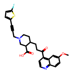 COc1ccc2nccc(C(=O)CCC3CCN(CC#Cc4ccc(F)s4)CC3C(=O)O)c2c1